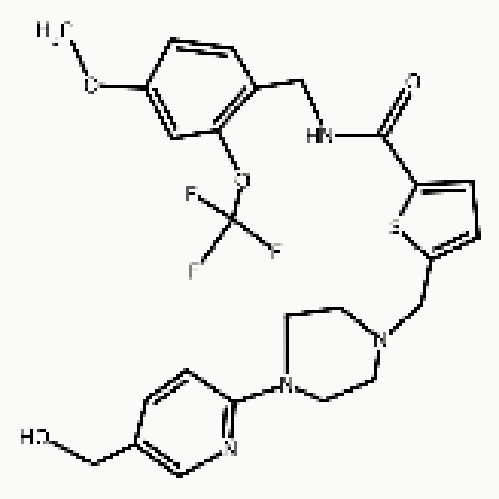 COc1ccc(CNC(=O)c2ccc(CN3CCN(c4ccc(CO)cn4)CC3)s2)c(OC(F)(F)F)c1